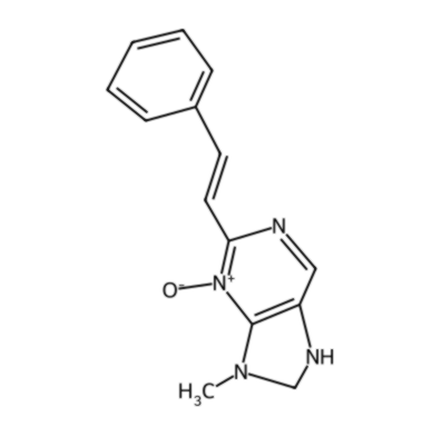 CN1CNc2cnc(C=Cc3ccccc3)[n+]([O-])c21